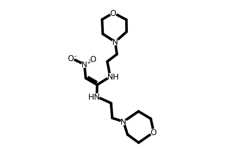 O=[N+]([O-])C=C(NCCN1CCOCC1)NCCN1CCOCC1